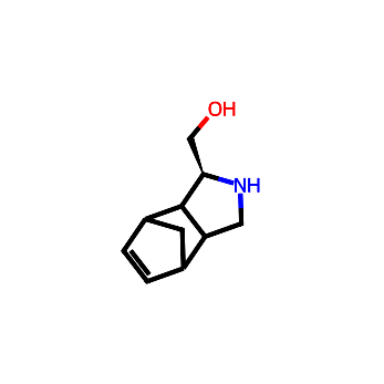 OC[C@H]1NCC2C3C=CC(C3)C21